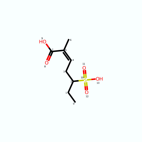 CCC(CC=C(C)C(=O)O)S(=O)(=O)O